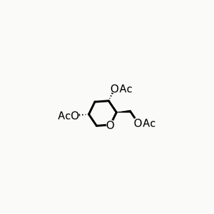 CC(=O)OC[C@H]1OC[C@H](OC(C)=O)C[C@@H]1OC(C)=O